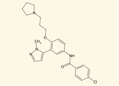 Cn1nccc1-c1cc(NC(=O)c2ccc(Cl)cc2)ccc1OCCCN1CCCC1